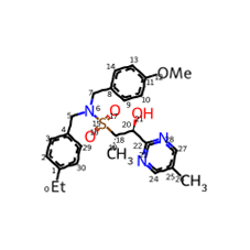 CCc1ccc(CN(Cc2ccc(OC)cc2)S(=O)(=O)[C@@H](C)[C@@H](O)c2ncc(C)cn2)cc1